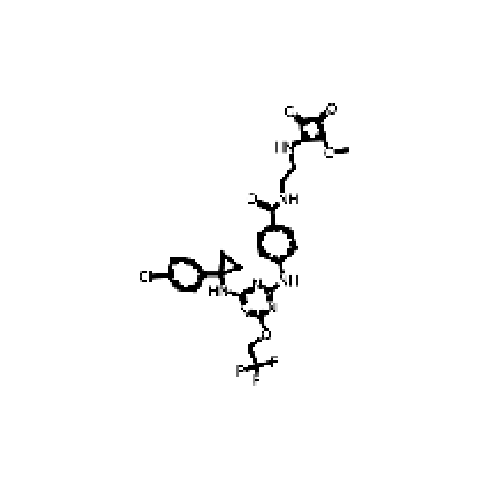 COc1c(NCCNC(=O)c2ccc(Nc3nc(NC4(c5ccc(Cl)cc5)CC4)nc(OCC(F)(F)F)n3)cc2)c(=O)c1=O